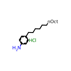 CCCCCCCCCCCCCCc1ccc(N)cc1.Cl